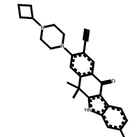 C#Cc1cc2c(cc1N1CCN(C3CCC3)CC1)C(C)(C)c1[nH]c3cc(N)ccc3c1C2=O